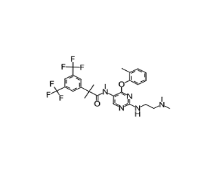 Cc1ccccc1Oc1nc(NCCN(C)C)ncc1N(C)C(=O)C(C)(C)c1cc(C(F)(F)F)cc(C(F)(F)F)c1